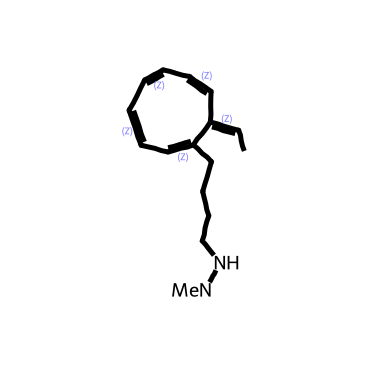 C/C=C1/C=C\C=C/C=C\C=C/1CCCCNNC